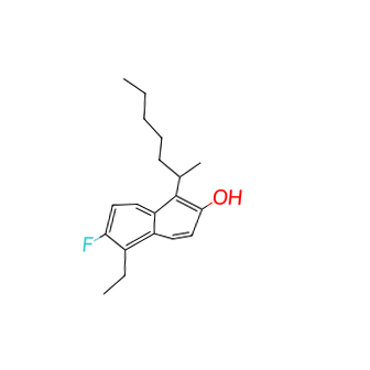 CCCCCC(C)c1c(O)ccc2c(CC)c(F)ccc12